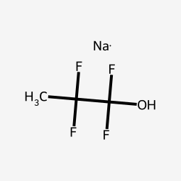 CC(F)(F)C(O)(F)F.[Na]